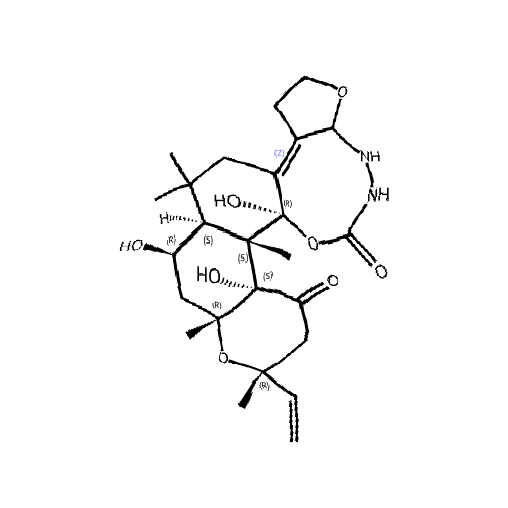 C=C[C@@]1(C)CC(=O)[C@]2(O)[C@]3(C)[C@@H]([C@H](O)C[C@@]2(C)O1)C(C)(C)C/C1=C2\CCOC2NNC(=O)O[C@]13O